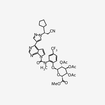 COC(=O)[C@H]1O[C@@H](Oc2ccc(C(F)(F)F)cc2N(C)C(=O)n2ccc3c(-c4cnn([C@H](CC#N)C5CCCC5)c4)ncnc32)[C@H](OC(C)=O)[C@@H](OC(C)=O)[C@@H]1OC(C)=O